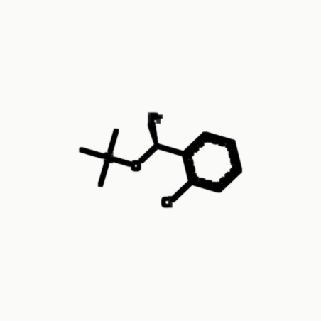 CC(C)[C@H](O[Si](C)(C)C)c1ccccc1Cl